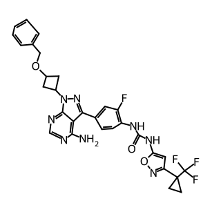 Nc1ncnc2c1c(-c1ccc(NC(=O)Nc3cc(C4(C(F)(F)F)CC4)no3)c(F)c1)nn2C1CC(OCc2ccccc2)C1